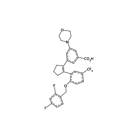 O=C(O)c1cc(C2=C(c3cc(C(F)(F)F)ccc3OCc3ccc(F)cc3F)CCC2)cc(N2CCOCC2)c1